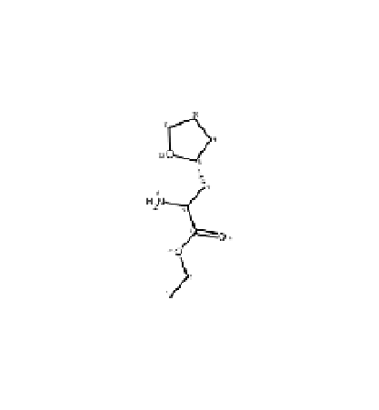 CCOC(=O)C(N)C[C@H]1CCCO1